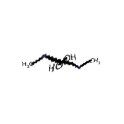 CCCCCCCC/C=C\CCCCCCCCC(O)C(CO)CCCCCCCC/C=C\CCCCCCCC